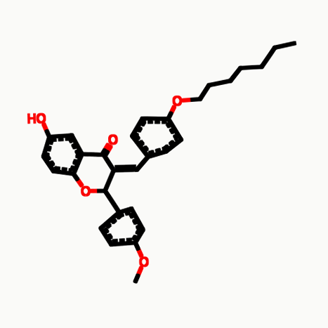 CCCCCCCOc1ccc(C=C2C(=O)c3cc(O)ccc3OC2c2ccc(OC)cc2)cc1